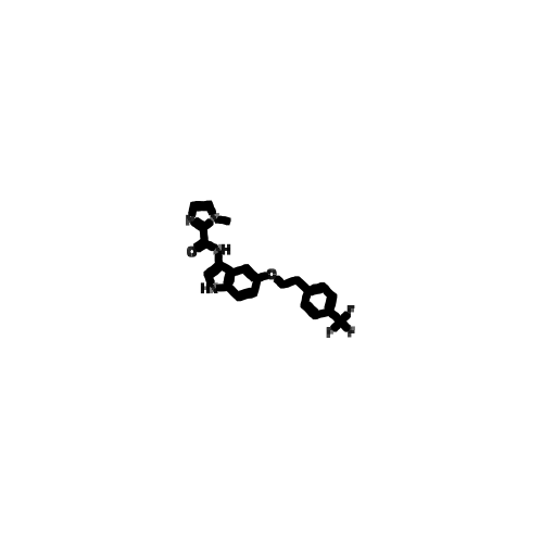 Cn1ccnc1C(=O)Nc1c[nH]c2ccc(OCCc3ccc(C(F)(F)F)cc3)cc12